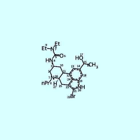 CCCN1C[C@@H](NC(=O)N(CC)CC)CC2c3cc(C(C)O)cc4[nH]c(Br)c(c34)C[C@H]21